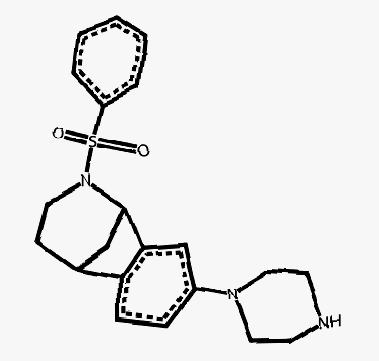 O=S(=O)(c1ccccc1)N1CCC2CC1c1cc(N3CCNCC3)ccc12